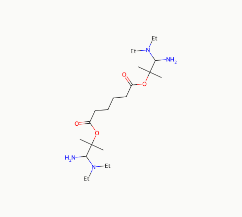 CCN(CC)C(N)C(C)(C)OC(=O)CCCCC(=O)OC(C)(C)C(N)N(CC)CC